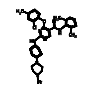 Cc1ccc(Oc2nc(Nc3ccc(N4CCN(C(C)C)CC4)cc3)ncc2C(=O)Nc2c(C)cccc2C)c(Cl)c1